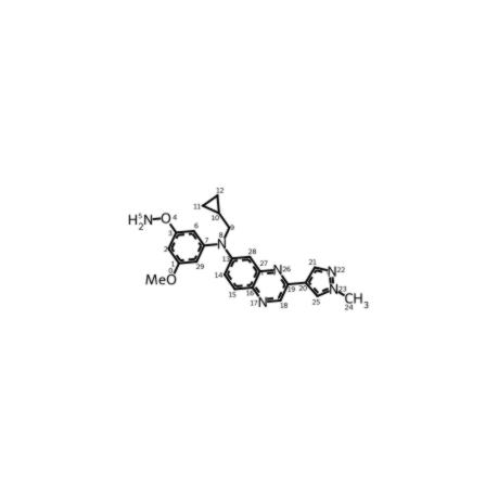 COc1cc(ON)cc(N(CC2CC2)c2ccc3ncc(-c4cnn(C)c4)nc3c2)c1